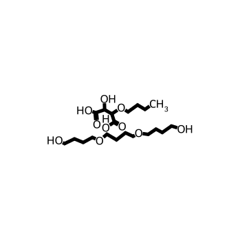 CCCCOC(C(=O)O)C(O)C(=O)O.OCCCCOCCCCOCCCCO